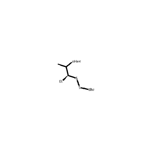 CCCCCCC(C)[C@H](CC)SSC(C)(C)C